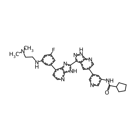 CN(C)CCNc1cc(F)cc(-c2ccnc3[nH]c(-c4n[nH]c5ncc(-c6cncc(NC(=O)C7CCCC7)c6)cc45)nc23)c1